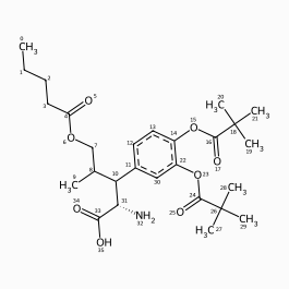 CCCCC(=O)OCC(C)C(c1ccc(OC(=O)C(C)(C)C)c(OC(=O)C(C)(C)C)c1)[C@H](N)C(=O)O